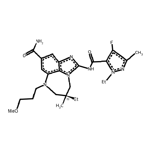 CCn1nc(C)c(F)c1C(=O)Nc1nc2cc(C(N)=O)cc3c2n1C[C@@](C)(CC)CN3CCCOC